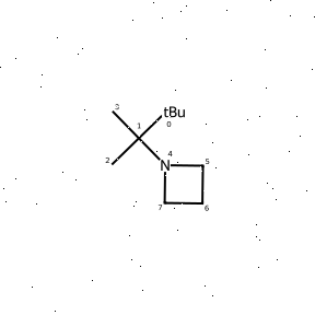 CC(C)(C)C(C)(C)N1CCC1